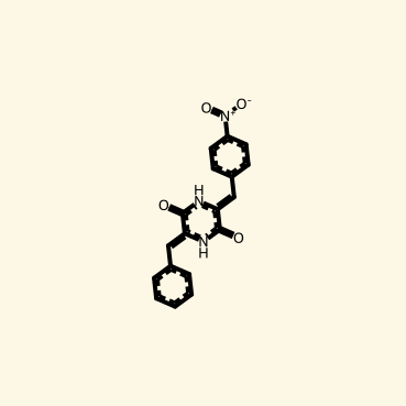 O=c1[nH]/c(=C\c2ccc([N+](=O)[O-])cc2)c(=O)[nH]/c1=C\c1ccccc1